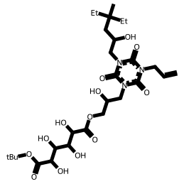 C=CCn1c(=O)n(CC(O)COC(=O)C(O)C(O)C(O)C(O)C(=O)OC(C)(C)C)c(=O)n(CC(O)CC(C)(CC)CC)c1=O